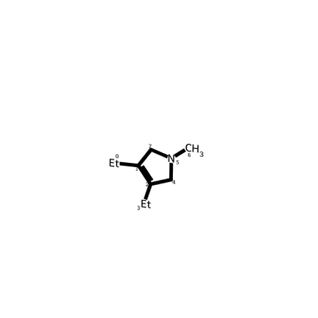 CCC1=C(CC)CN(C)C1